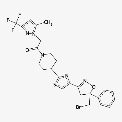 Cc1cc(C(F)(F)F)nn1CC(=O)N1CCC(c2nc(C3=NOC(CBr)(c4ccccc4)C3)cs2)CC1